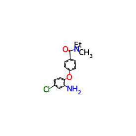 CCN(C)C(=O)c1ccc(Oc2ccc(Cl)cc2N)cc1